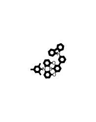 Cc1cc(C)c(N2c3cccc4c3B3c5c(cccc52)Oc2c(-c5cccc(-n6c7ccccc7c7ccccc76)c5)ccc(c23)O4)c(C)c1